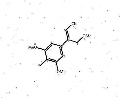 COCC(=CC#N)c1cc(OC)c(C)c(OC)c1